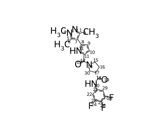 Cc1nn(C)c(C)c1-c1ccc(C(=O)N2CC[C@H](C(=O)Nc3cc(F)c(F)c(F)c3)C2)[nH]1